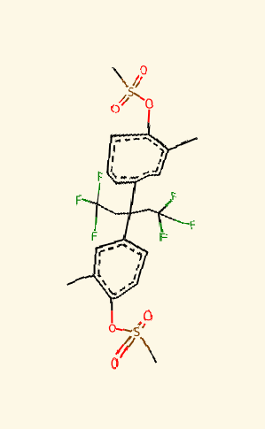 Cc1cc(C(c2ccc(OS(C)(=O)=O)c(C)c2)(C(F)(F)F)C(F)(F)F)ccc1OS(C)(=O)=O